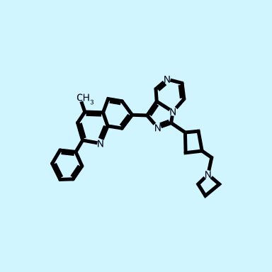 Cc1cc(-c2ccccc2)nc2cc(-c3nc(C4CC(CN5CCC5)C4)n4ccncc34)ccc12